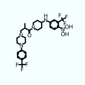 CC(CN1CCN(c2ccc(C(F)(F)F)cc2)CC1)C(=O)N1CCC(Nc2ccc(N(O)O)c(C(F)(F)F)c2)CC1